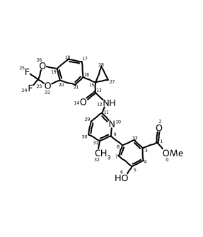 COC(=O)c1cc(O)cc(-c2nc(NC(=O)C3(c4ccc5c(c4)OC(F)(F)O5)CC3)ccc2C)c1